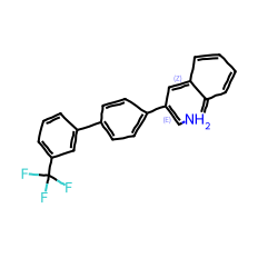 C=c1cccc/c1=C/C(=C\N)c1ccc(-c2cccc(C(F)(F)F)c2)cc1